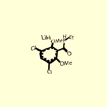 CCPC(=O)c1c(OC)c(Cl)cc(Cl)c1OC.[LiH]